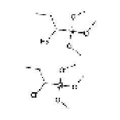 CCC(Cl)[Si](OC)(OC)OC.CCC(S)[Si](OC)(OC)OC